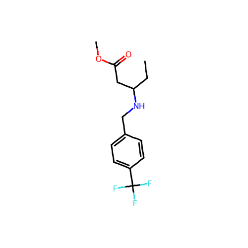 CCC(CC(=O)OC)NCc1ccc(C(F)(F)F)cc1